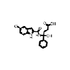 O=C(O)CCC(O)(NC(=O)c1cc2cc(Cl)ccc2[nH]1)c1ccccc1